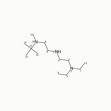 CCN(CC)CCNCCN(C)C(C)(C)C